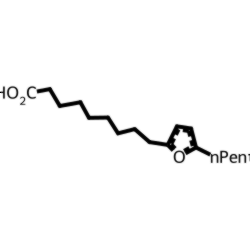 CCCCCc1ccc(CCCCCCCCC(=O)O)o1